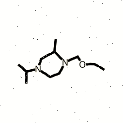 CCOCN1CCN(C(C)C)CC1C